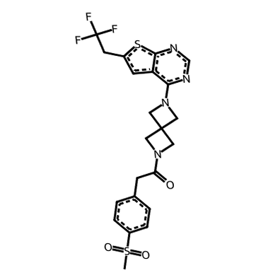 CS(=O)(=O)c1ccc(CC(=O)N2CC3(C2)CN(c2ncnc4sc(CC(F)(F)F)cc24)C3)cc1